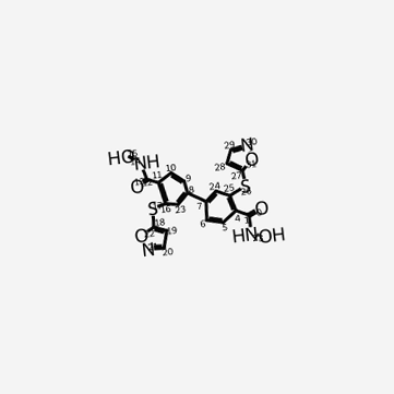 O=C(NO)c1ccc(-c2ccc(C(=O)NO)c(Sc3ccno3)c2)cc1Sc1ccno1